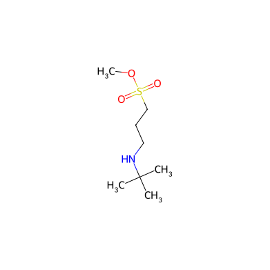 COS(=O)(=O)CCCNC(C)(C)C